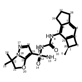 C[C@@H]1Cc2cc3c(c(NC(=O)N[SH](N)(=O)c4cnn5c4OCC5(C)C)c21)CCC3